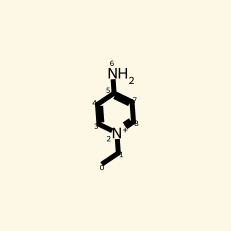 CC[n+]1ccc(N)cc1